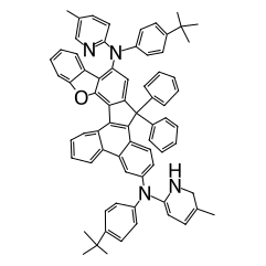 CC1=CC=C(N(c2ccc(C(C)(C)C)cc2)c2ccc3c4c(c5ccccc5c3c2)-c2c(cc(N(c3ccc(C(C)(C)C)cc3)c3ccc(C)cn3)c3c2oc2ccccc23)C4(c2ccccc2)c2ccccc2)NC1